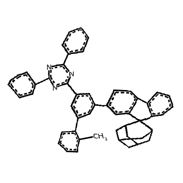 Cc1ccccc1-c1cc(-c2ccc3c(c2)C2(c4ccccc4-3)C3CC4CC(C3)CC2C4)cc(-c2nc(-c3ccccc3)nc(-c3ccccc3)n2)c1